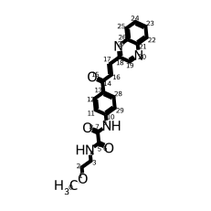 COCCNC(=O)C(=O)Nc1ccc(C(=O)/C=C/c2cnc3ccccc3n2)cc1